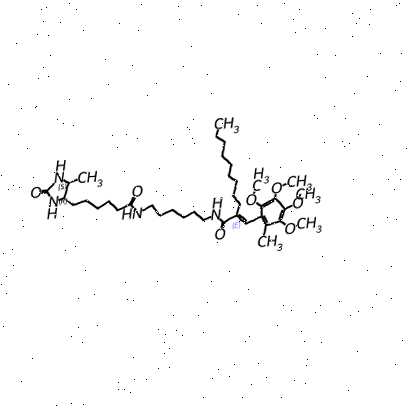 CCCCCCCCC/C(=C\c1c(C)c(OC)c(OC)c(OC)c1OC)C(=O)NCCCCCCNC(=O)CCCCC[C@H]1NC(=O)N[C@H]1C